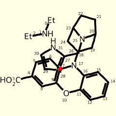 CCNCC.O=C(O)c1ccc2c(c1)Oc1ccccc1N2C1CC2CCC(C1)N2Cc1ncc[nH]1